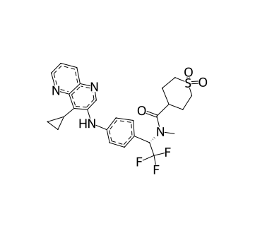 CN(C(=O)C1CCS(=O)(=O)CC1)[C@@H](c1ccc(Nc2cnc3cccnc3c2C2CC2)cc1)C(F)(F)F